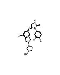 O=C1CNC(=O)N1c1ccc(Cl)c(O[C@H]2c3cc(Cl)cc(Cl)c3C[C@H]2N2CC[C@@H](O)C2)c1